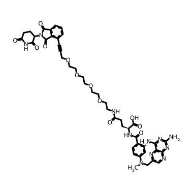 CN(Cc1cnc2nc(N)nc(N)c2n1)c1ccc(C(=O)N[C@@H](CCC(=O)NCCOCCOCCOCCOCC#Cc2cccc3c2C(=O)N(C2CCC(=O)NC2=O)C3=O)C(=O)O)cc1